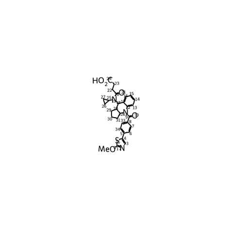 COc1ncc(-c2ccc(C(=O)N3c4ccccc4C(N(C(=O)CCC(=O)O)C4CC4)C4CCCC43)cc2)s1